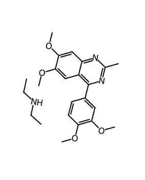 CCNCC.COc1ccc(-c2nc(C)nc3cc(OC)c(OC)cc23)cc1OC